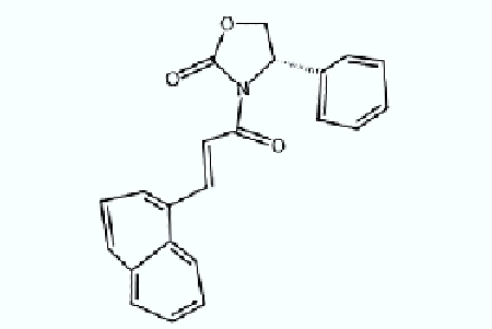 O=C(/C=C/c1cccc2ccccc12)N1C(=O)OC[C@@H]1c1ccccc1